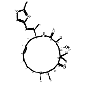 C/C(=C\c1csc(C)n1)[C@@H]1C/C=C\CCC[C@H](C)[C@H](C)CC(=O)C(C)(C)[C@@H](O)C(C)C(=O)O1